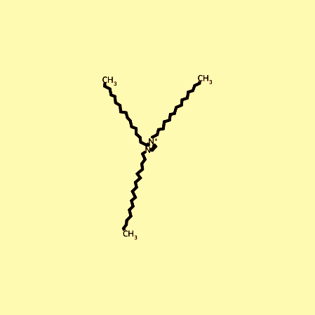 CCCCCCCCCCCCCCCCCCn1cc[n+](CCCCCCCCCCCCCCCCC)c1CCCCCCCCCCCCCCCC